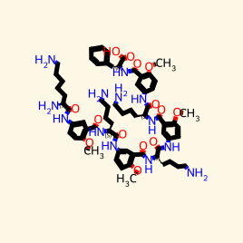 COc1ccc(NC(=O)[C@H](CCCCN)NC(=O)c2cc(NC(=O)[C@@H](N)CCCCCN)ccc2OC)cc1C(=O)N[C@@H](CCCCN)C(=O)Nc1ccc(OC)c(C(=O)N[C@@H](CCCCN)C(=O)Nc2ccc(OC)c(C(=O)N[C@H](Cc3ccccc3)C(=O)O)c2)c1